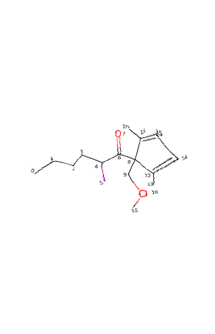 CCCCC(I)C(=O)C1(COC)C(C)=CC=C1C